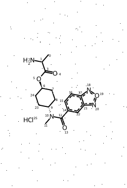 CC(N)C(=O)O[C@H]1CC[C@H](N(C)C(=O)c2ccc3nonc3c2)CC1.Cl